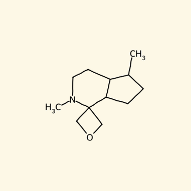 CC1CCC2C1CCN(C)C21COC1